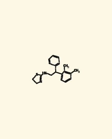 Cc1cccc(C(CNC2=NCCS2)c2ccccc2)c1C